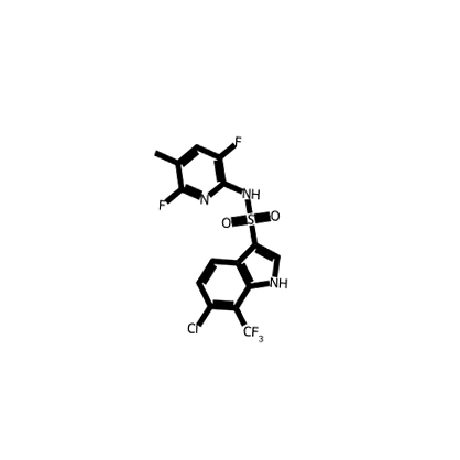 Cc1cc(F)c(NS(=O)(=O)c2c[nH]c3c(C(F)(F)F)c(Cl)ccc23)nc1F